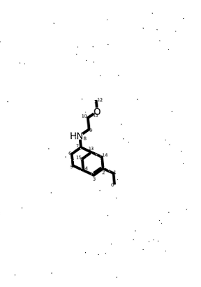 CCC1=CC2CCC(NCCOC)C(C1)C2